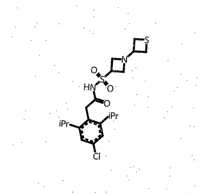 CC(C)c1cc(Cl)cc(C(C)C)c1CC(=O)NS(=O)(=O)C1CN(C2CSC2)C1